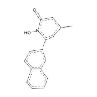 Cc1cc(-c2ccc3ccccc3c2)n(O)c(=O)c1